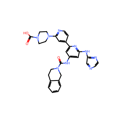 O=C(O)N1CCN(c2cc(-c3cc(NC(=O)N4CCc5ccccc5C4)cc(Nc4cnccn4)n3)ccn2)CC1